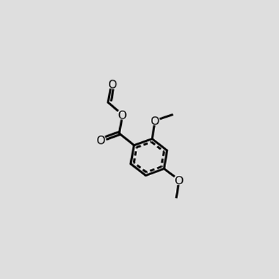 COc1ccc(C(=O)OC=O)c(OC)c1